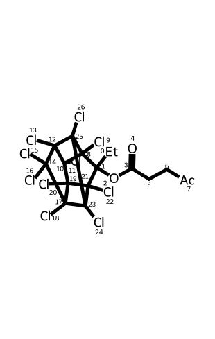 CCC1(OC(=O)CCC(C)=O)C2(Cl)C3(Cl)C4(Cl)C(Cl)(Cl)C5(Cl)C3(Cl)C1(Cl)C5(Cl)C42Cl